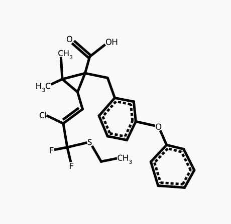 CCSC(F)(F)C(Cl)=CC1C(C)(C)C1(Cc1cccc(Oc2ccccc2)c1)C(=O)O